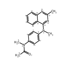 CC(=O)N(C)c1ccc(N(C)c2nc(C)nc3ccccc23)cc1